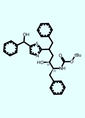 CC(C)(C)OC(=O)N[C@@H](Cc1ccccc1)[C@@H](O)CC(Cc1ccccc1)c1ncc(C(O)c2ccccc2)s1